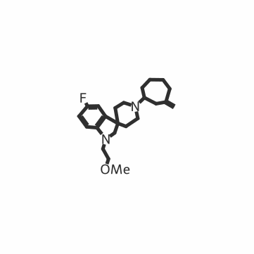 C=C1CCCCC(N2CCC3(CC2)CN(CCOC)c2ccc(F)cc23)C1